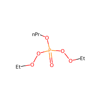 [CH2]CCOP(=O)(OOCC)OOCC